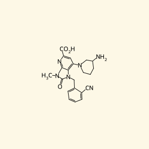 Cn1c(=O)n(Cc2ccccc2C#N)c2c(N3CCCC(N)C3)cc(C(=O)O)nc21